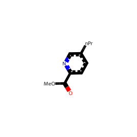 CCCc1ccc(C(=O)OC)nc1